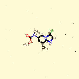 Cc1cc(N(C)C(=O)OC(C)(C)C)cn2c(Br)cnc12